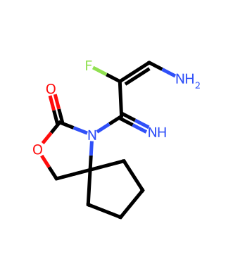 N=C(/C(F)=C\N)N1C(=O)OCC12CCCC2